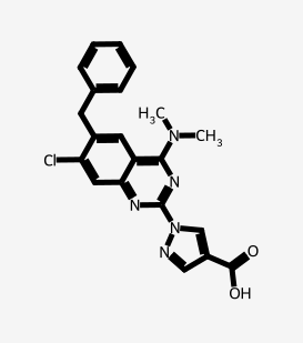 CN(C)c1nc(-n2cc(C(=O)O)cn2)nc2cc(Cl)c(Cc3ccccc3)cc12